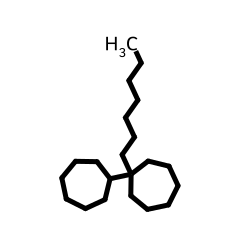 CCCCCCCC1(C2CCCCCC2)CCCCCC1